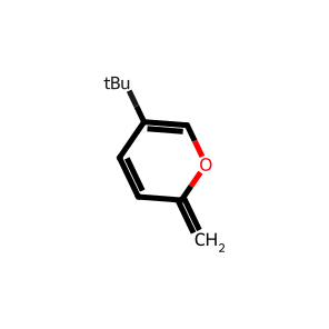 C=C1C=CC(C(C)(C)C)=CO1